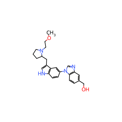 COCCN1CCCC1Cc1c[nH]c2ccc(-n3cnc4cc(CO)ccc43)cc12